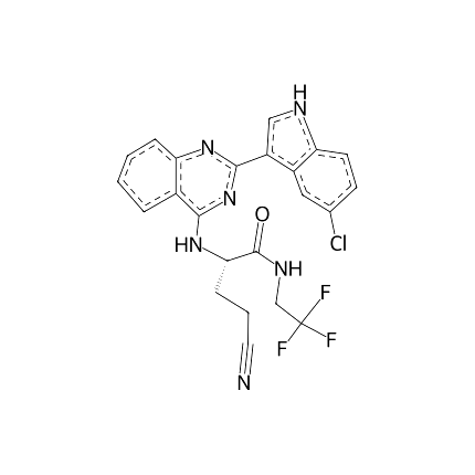 N#CCC[C@H](Nc1nc(-c2c[nH]c3ccc(Cl)cc23)nc2ccccc12)C(=O)NCC(F)(F)F